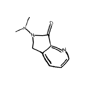 CN(C)N1Cc2cccnc2C1=O